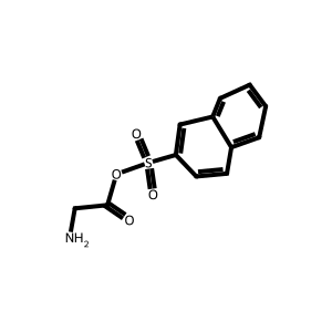 NCC(=O)OS(=O)(=O)c1ccc2ccccc2c1